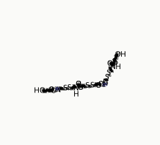 O=C(NCCSCSCC/N=C\OOCCSCSCCOC(=O)NCCSCSCC/N=C/OOCCCO)OCCCO